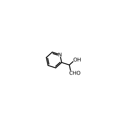 O=CC(O)c1ccccn1